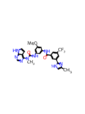 COc1cc(NC(=O)c2cc(-c3nc(C)c[nH]3)cc(C(F)(F)F)c2)cc(NC(=O)N(C)c2ncnc3[nH]ccc23)c1